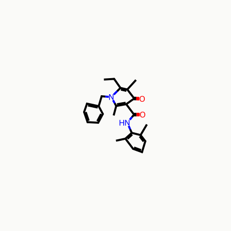 CCc1c(C)c(=O)c(C(=O)Nc2c(C)cccc2C)c(C)n1Cc1ccccc1